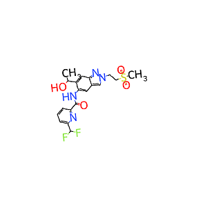 CC(O)c1cc2nn(CCS(C)(=O)=O)cc2cc1NC(=O)c1cccc(C(F)F)n1